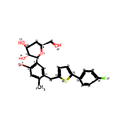 Cc1cc(Br)c([C@@H]2O[C@H](CO)C[C@H](O)[C@H]2O)cc1Cc1ccc(-c2ccc(F)cc2)s1